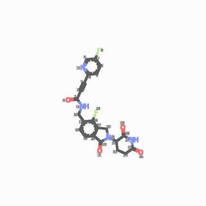 O=C(C#Cc1ccc(F)cn1)NCc1ccc2c(c1F)CN(C1CCC(=O)NC1=O)C2=O